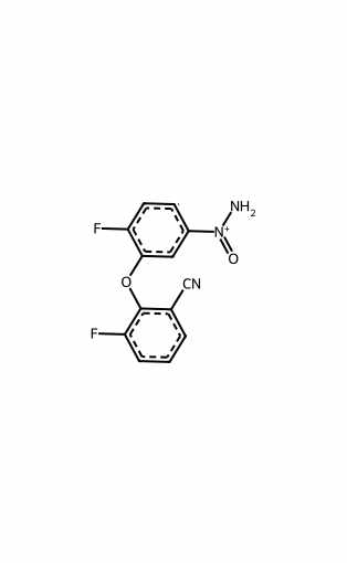 N#Cc1cccc(F)c1Oc1cc([N+](N)=O)[c]cc1F